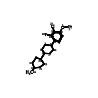 CCOc1ccc(C2CCC(C3CCC(C)CC3)CC2)c(F)c1Cl